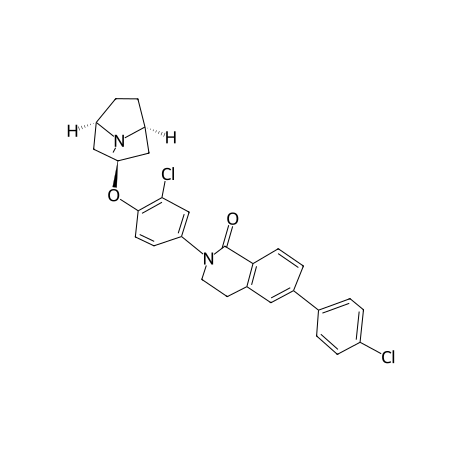 CN1[C@@H]2CC[C@H]1C[C@@H](Oc1ccc(N3CCc4cc(-c5ccc(Cl)cc5)ccc4C3=O)cc1Cl)C2